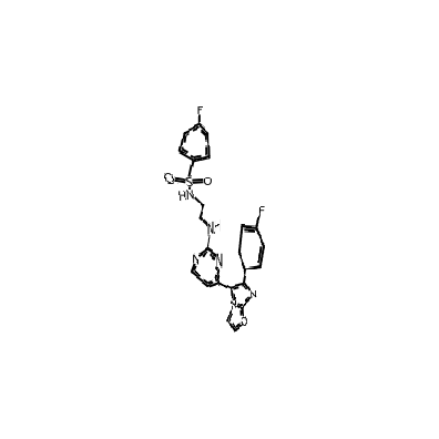 O=S(=O)(NCCNc1nccc(-c2c(C3C=CC(F)=CC3)nc3occn23)n1)c1ccc(F)cc1